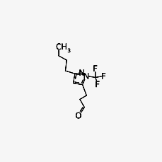 CCCCc1cc(CCC=O)n(C(F)(F)F)n1